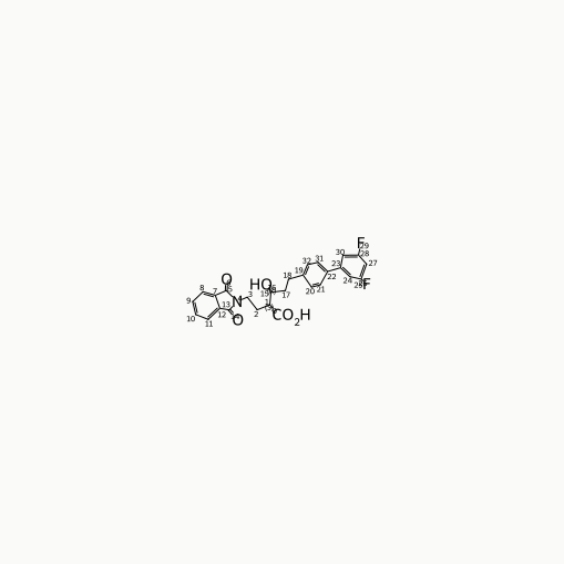 O=C(O)[C@@H](CCN1C(=O)c2ccccc2C1=O)[C@H](O)CCc1ccc(-c2cc(F)cc(F)c2)cc1